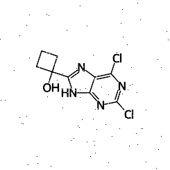 OC1(c2nc3c(Cl)nc(Cl)nc3[nH]2)CCC1